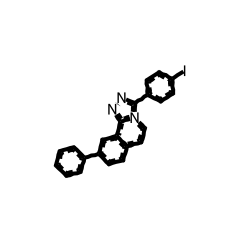 Ic1ccc(-c2nnc3c4cc(-c5ccccc5)ccc4ccn23)cc1